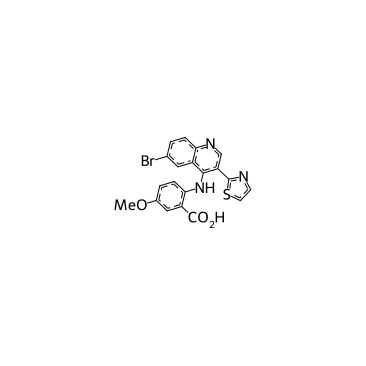 COc1ccc(Nc2c(-c3nccs3)cnc3ccc(Br)cc23)c(C(=O)O)c1